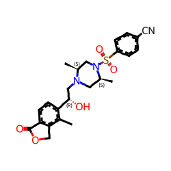 Cc1c([C@@H](O)CN2C[C@H](C)N(S(=O)(=O)c3ccc(C#N)cc3)C[C@@H]2C)ccc2c1COC2=O